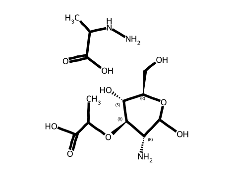 CC(NN)C(=O)O.CC(O[C@H]1[C@H](O)[C@@H](CO)OC(O)[C@@H]1N)C(=O)O